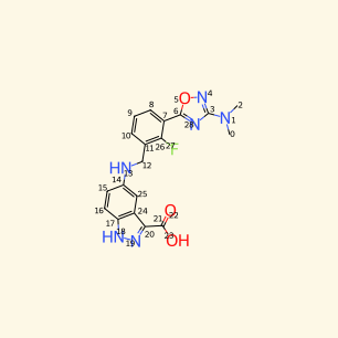 CN(C)c1noc(-c2cccc(CNc3ccc4[nH]nc(C(=O)O)c4c3)c2F)n1